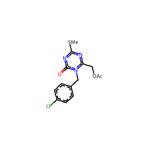 CSc1nc(COC(C)=O)n(Cc2ccc(Cl)cc2)c(=O)n1